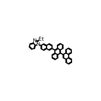 CCc1nc2ccccc2n1-c1ccc2cc(-c3c4ccccc4c(-c4cc5ccccc5c5ccccc45)c4ccccc34)ccc2c1